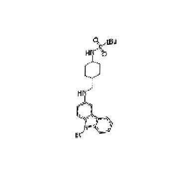 CCn1c2ccccc2c2cc(NC[C@H]3CC[C@H](NS(=O)(=O)C(C)(C)C)CC3)ccc21